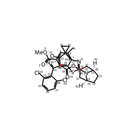 COC(=O)c1cc(C)c2nc(N3[C@@H]4CC[C@H]3C[C@@H](OC(=O)c3c(-c5c(Cl)cccc5Cl)noc3C3(F)CC3)C4)sc2c1